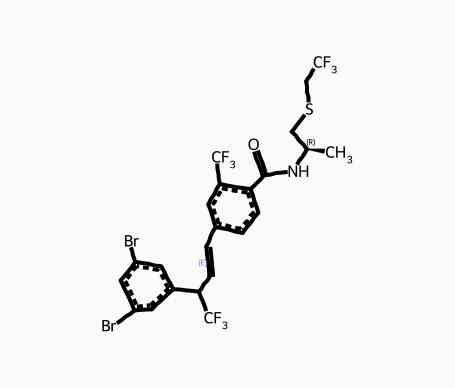 C[C@H](CSCC(F)(F)F)NC(=O)c1ccc(/C=C/C(c2cc(Br)cc(Br)c2)C(F)(F)F)cc1C(F)(F)F